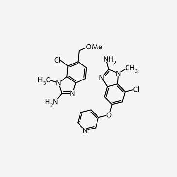 COCc1ccc2nc(N)n(C)c2c1Cl.Cn1c(N)nc2cc(Oc3cccnc3)cc(Cl)c21